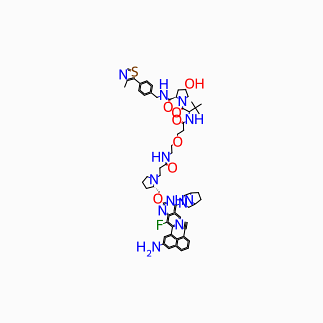 C#Cc1cccc2cc(N)cc(-c3ncc4c(N5CC6CCC(C5)N6)nc(OC[C@@H]5CCCN5CCC(=O)NCCOCCC(=O)N[C@@H](C(=O)N5C[C@@H](O)C[C@@H]5C(=O)NCc5ccc(-c6scnc6C)cc5)C(C)(C)C)nc4c3F)c12